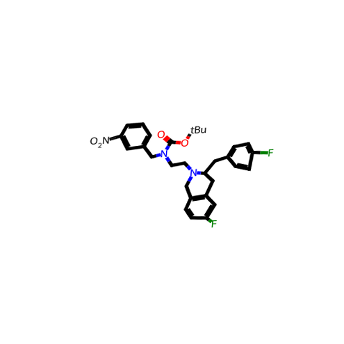 CC(C)(C)OC(=O)N(CCN1Cc2ccc(F)cc2CC1Cc1ccc(F)cc1)Cc1cccc([N+](=O)[O-])c1